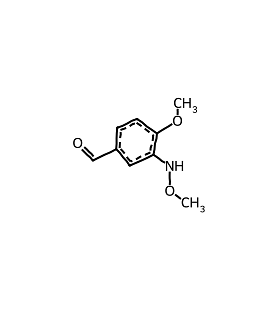 CONc1cc(C=O)ccc1OC